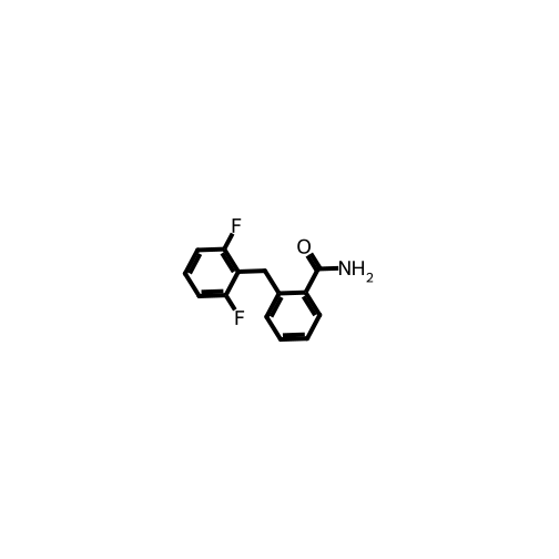 NC(=O)c1ccccc1Cc1c(F)cccc1F